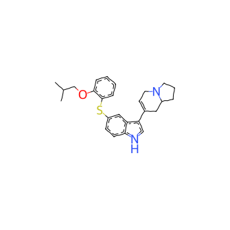 CC(C)COc1ccccc1Sc1ccc2[nH]cc(C3=CCN4CCCC4C3)c2c1